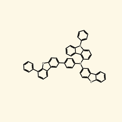 c1ccc(-c2cccc3c2oc2ccc(-c4ccc(N(c5ccc6oc7ccccc7c6c5)c5cccc6c5c5ccccc5n6-c5ccccc5)cc4)cc23)cc1